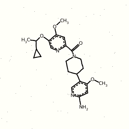 COc1cc(C(=O)N2CCC(c3cnc(N)cc3OC)CC2)ncc1OC(C)C1CC1